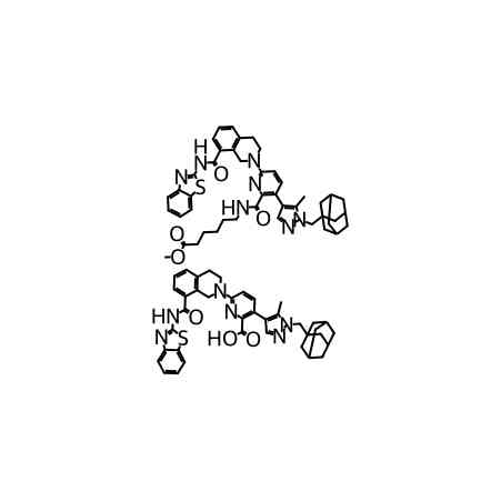 COC(=O)CCCCCNC(=O)c1nc(N2CCc3cccc(C(=O)Nc4nc5ccccc5s4)c3C2)ccc1-c1cnn(CC23CC4CC(CC(C4)C2)C3)c1C.Cc1c(-c2ccc(N3CCc4cccc(C(=O)Nc5nc6ccccc6s5)c4C3)nc2C(=O)O)cnn1CC12CC3CC(CC(C3)C1)C2